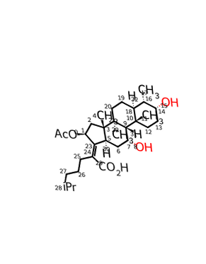 CC(=O)O[C@H]1C[C@@]2(C)[C@@H](C[C@@H](O)[C@H]3[C@@]4(C)CC[C@@H](O)[C@@H](C)[C@@H]4CC[C@@]32C)/C1=C(/CCCC(C)C)C(=O)O